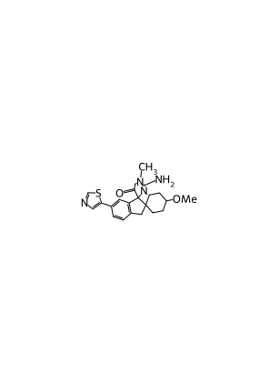 COC1CCC2(CC1)Cc1ccc(-c3cncs3)cc1C21N=C(N)N(C)CC1=O